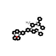 Cc1cc(-c2nc(-c3ccccc3)cc(-c3ccccc3)n2)cc(-n2c3ccc(-c4ccc5c(c4)c4ccc6ccn(-c7ccccc7)c6c4n5-c4ccccc4)cc3c3ccc4c(ccn4-c4ccccc4)c32)c1